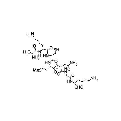 CSCC[C@H](NC(=O)[C@H](CS)NC(=O)[C@H](CCCCN)NC(=O)[C@H](C)N)C(=O)N[C@@H](CC(N)=O)C(=O)NCC(=O)N[C@H]([C]=O)CCCCN